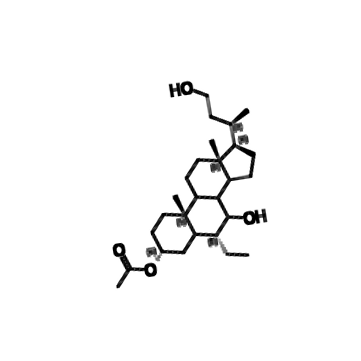 CC[C@H]1C(O)C2C(CC[C@@]3(C)C2CC[C@@H]3[C@H](C)CCO)[C@@]2(C)CC[C@@H](OC(C)=O)CC12